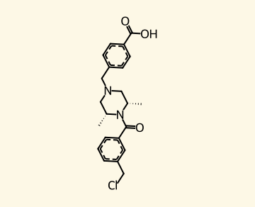 C[C@@H]1CN(Cc2ccc(C(=O)O)cc2)C[C@H](C)N1C(=O)c1cccc(CCl)c1